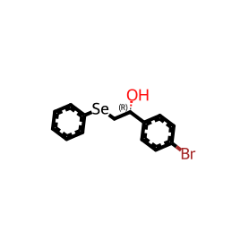 O[C@@H](C[Se]c1ccccc1)c1ccc(Br)cc1